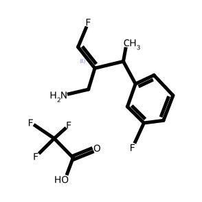 CC(/C(=C\F)CN)c1cccc(F)c1.O=C(O)C(F)(F)F